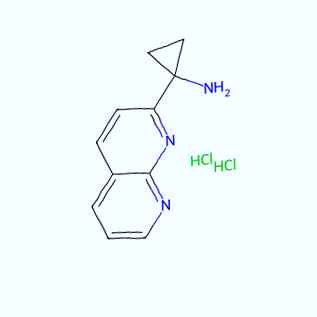 Cl.Cl.NC1(c2ccc3cccnc3n2)CC1